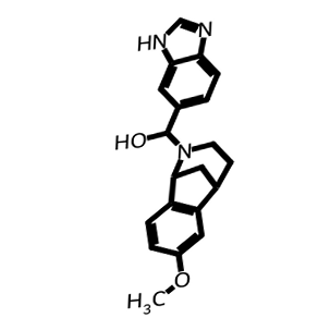 COc1ccc2c(c1)C1CCN(C(O)c3ccc4nc[nH]c4c3)C2C1